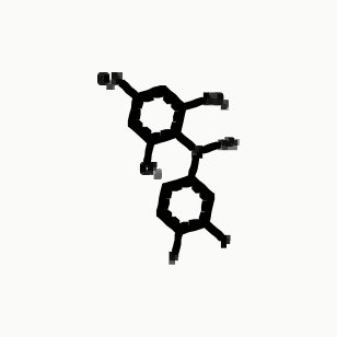 CCCN(c1ccc(F)c(F)c1)c1c([N+](=O)[O-])cc([N+](=O)[O-])cc1C(F)(F)F